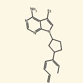 C=C/C=C\C(=C/C)C1CCC(n2cc(CC)c3c(N)ncnc32)C1